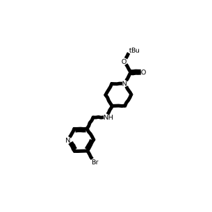 CC(C)(C)OC(=O)N1CCC(NCc2cncc(Br)c2)CC1